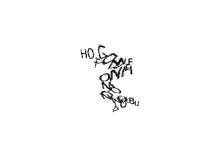 CC(C)(C)OC(=O)N(CC1CC1)c1cc(-c2nc(C(=O)Nc3cn(-c4ccc(C(=O)O)c(F)c4)nc3C(F)F)co2)ccn1